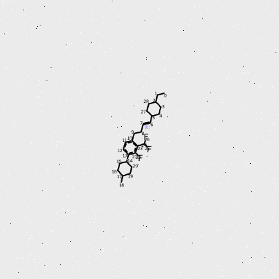 CCC1CCC(/C=C/CCc2ccc(C3CCC(C)CC3)c(F)c2C(F)F)CC1